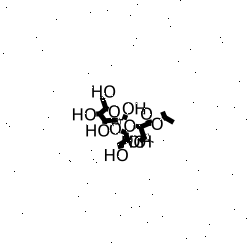 CC(C)OC(=O)C(OC(O[C@]1(CO)OC(CO)C(O)C1O)[C@@H](O)CO)[C@H](C)O